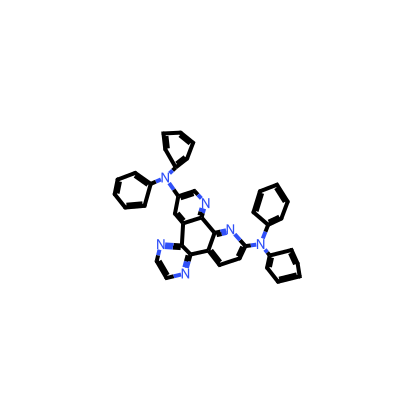 c1ccc(N(c2ccccc2)c2cnc3c(c2)c2nccnc2c2ccc(N(c4ccccc4)c4ccccc4)nc23)cc1